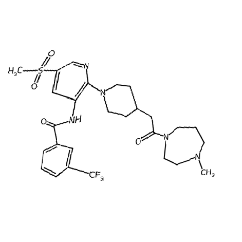 CN1CCCN(C(=O)CC2CCN(c3ncc(S(C)(=O)=O)cc3NC(=O)c3cccc(C(F)(F)F)c3)CC2)CC1